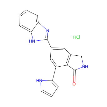 Cl.O=C1NCc2cc(-c3nc4ccccc4[nH]3)cc(-c3ccc[nH]3)c21